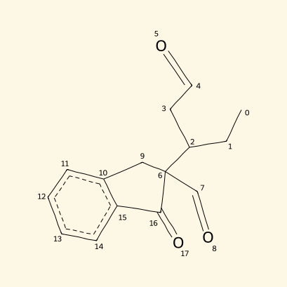 CCC(CC=O)C1(C=O)Cc2ccccc2C1=O